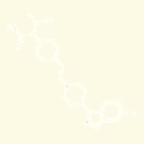 CC(O)C(C(N)=O)C1CCC(CCN2CCC(c3noc4cc(Cl)ccc34)CC2)CC1